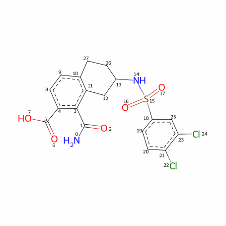 NC(=O)c1c(C(=O)O)ccc2c1CC(NS(=O)(=O)c1ccc(Cl)c(Cl)c1)CC2